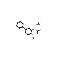 COc1ccc(-c2ccccc2)cc1N(NC(=O)O)C(C)C